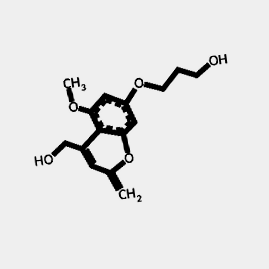 C=C1C=C(CO)c2c(OC)cc(OCCCO)cc2O1